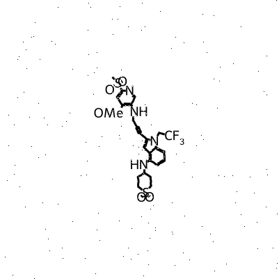 COc1cc(S(C)(=O)=O)ncc1NCC#Cc1cc2c(NC3CCS(=O)(=O)CC3)cccc2n1CC(F)(F)F